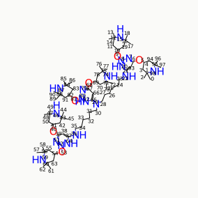 CC1(C)CC(OC2=NN(OC3CC(C)(C)NC(C)(C)C3)NC(NCCCCCCN(CCCCCCNC3=CC(OC4CC(C)(C)NC(C)(C)C4)=NN(OC4CC(C)(C)NC(C)(C)C4)N3)C3=CC(OC4CC(C)(C)NC(C)(C)C4)=NN(OC4CC(C)(C)NC(C)(C)C4)N3)=C2)CC(C)(C)N1